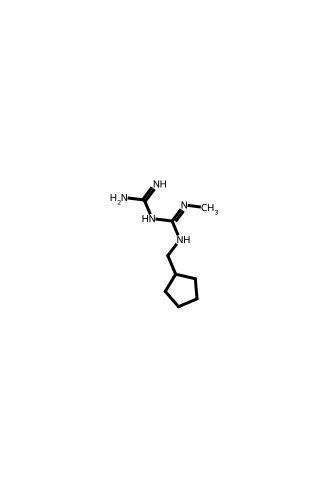 C/N=C(\NCC1CCCC1)NC(=N)N